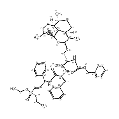 CCOP(=O)(/C=C/[C@H](NC(=O)[C@H](Cc1ccccc1)NC(=O)[C@H](CO[C@H]1O[C@@H]2O[C@@]3(C)CC[C@H]4[C@H](C)CC[C@@H]([C@H]1C)[C@@]24OO3)NC(=O)OCc1ccccc1)c1ccccc1)OCC